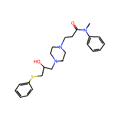 CN(C(=O)CCN1CCN(CC(O)CSc2ccccc2)CC1)c1ccccc1